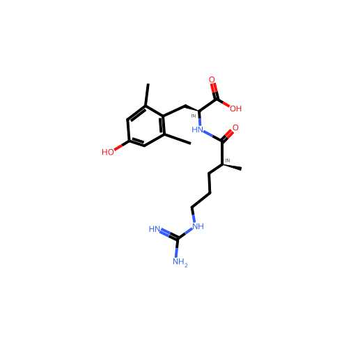 Cc1cc(O)cc(C)c1C[C@H](NC(=O)[C@@H](C)CCCNC(=N)N)C(=O)O